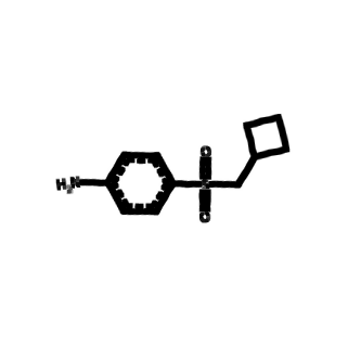 Nc1ccc(S(=O)(=O)CC2CCC2)cc1